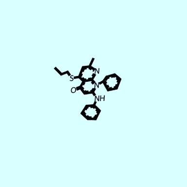 CCCSc1cc(C)nc2c1c(=O)cc(Nc1ccccc1)n2-c1ccccc1